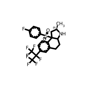 C[C@@H]1CC2(S(=O)(=O)c3ccc(F)cc3)c3ccc(C(F)(C(F)(F)F)C(F)(F)F)cc3CCC2N1